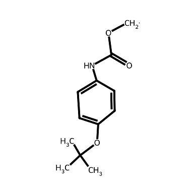 [CH2]OC(=O)Nc1ccc(OC(C)(C)C)cc1